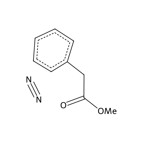 COC(=O)Cc1ccccc1.N#N